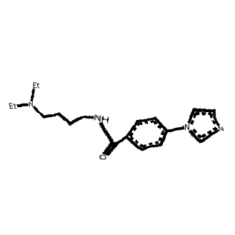 CCN(CC)CCCNC(=O)c1ccc(-n2ccnc2)cc1